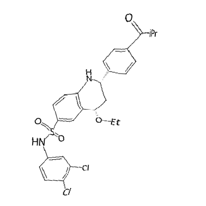 CCO[C@H]1C[C@@H](c2ccc(C(=O)C(C)C)cc2)Nc2ccc(S(=O)(=O)Nc3ccc(Cl)c(Cl)c3)cc21